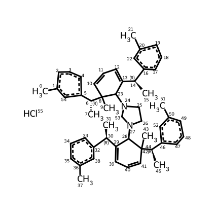 Cc1cccc([C@@H](C)C2(C)C=CC=C([C@H](C)c3cccc(C)c3)C2N2CCN(C3C([C@H](C)c4cccc(C)c4)=CC=CC3(C)[C@H](C)c3cccc(C)c3)C2)c1.Cl